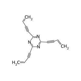 C=CC#Cc1nc(C#CC=C)nc(C#CC=C)n1